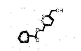 O=C(OCC1=CC=C(CO)SS1)c1ccccc1